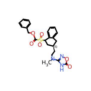 CN(CC[C@@H]1Cc2ccccc2C(S(=O)(=O)C(=O)OCc2ccccc2)C1)c1noc(=O)[nH]1